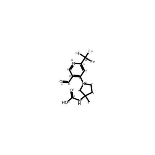 CC1(NC(=O)O)CCN(c2cc(C(F)(F)F)ncc2C=O)C1